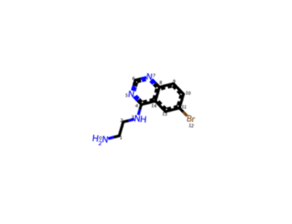 NCCNc1ncnc2ccc(Br)cc12